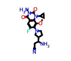 COc1c(N2CCC(C(N)CC#N)C2)c(F)cc2c(=O)n(N)c(=O)n(C3CC3)c12